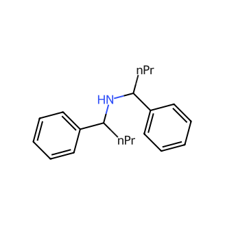 CCCC(NC(CCC)c1ccccc1)c1ccccc1